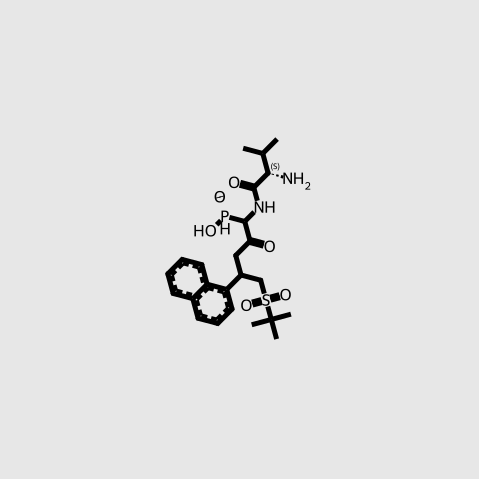 CC(C)[C@H](N)C(=O)NC(C(=O)CC(CS(=O)(=O)C(C)(C)C)c1cccc2ccccc12)[PH](=O)O